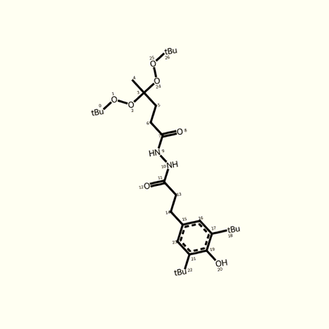 CC(C)(C)OOC(C)(CCC(=O)NNC(=O)CCc1cc(C(C)(C)C)c(O)c(C(C)(C)C)c1)OOC(C)(C)C